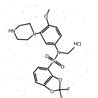 CCN(c1ccc(OC)c(N2CCNCC2)c1)S(=O)(=O)c1cccc2c1OC(F)(F)O2.Cl